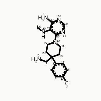 NCC1(c2ccc(Cl)cc2)CCN(c2ncnc(N)c2NI)CC1